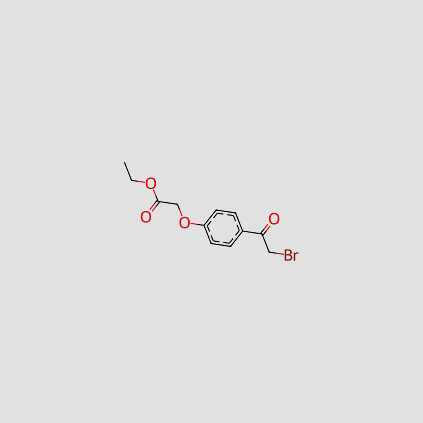 CCOC(=O)COc1ccc(C(=O)CBr)cc1